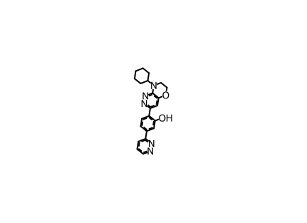 Oc1cc(-c2cccnn2)ccc1-c1cc2c(nn1)N(C1CCCCC1)CCO2